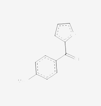 C=C(c1ccc(OC)cc1)c1ccco1